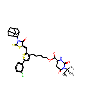 CC(C)(C)N1C(=O)C[C@@H](C(=O)OCCCCCc2cc(-c3cccc(Cl)c3)sc2/C=C2\SC(=S)N(C3C4CC5CC(C4)CC3C5)C2=O)NC1=O